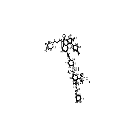 Cc1c(C(=O)NCCCN2CCN(C)CC2)c(-c2cccc(C#Cc3ccc(N[S+]([O-])c4ccc(NCCSc5ccccc5)c(S(=O)(=O)C(F)(F)F)c4)cc3)c2)c(-c2ccc(F)cc2)n1C